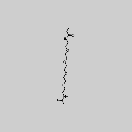 CC(I)NCCOCCOCCOCCOCCNC(=O)C(C)C